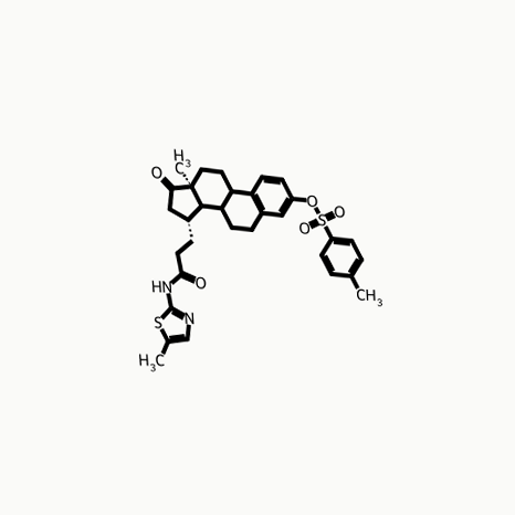 Cc1ccc(S(=O)(=O)Oc2ccc3c(c2)CCC2C3CC[C@]3(C)C(=O)C[C@@H](CCC(=O)Nc4ncc(C)s4)C23)cc1